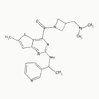 Cc1cc2nc(NC(C)c3cccnc3)nc(C(=O)N3CC(CN(C)C)C3)c2s1